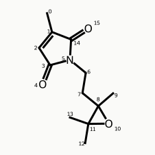 CC1=CC(=O)N(CCC2(C)OC2(C)C)C1=O